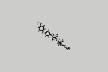 O=C(COc1ccc(Oc2ccc(Cl)cc2)cc1)NCC[PH](=O)NCCO